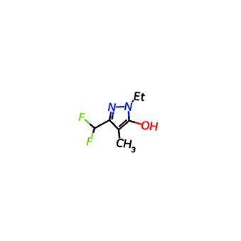 CCn1nc(C(F)F)c(C)c1O